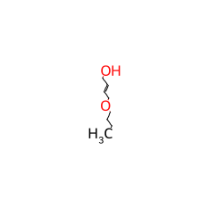 CCCCOC/C=C/CO